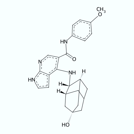 COc1ccc(NC(=O)c2cnc3[nH]ccc3c2N[C@H]2[C@@H]3CC4C[C@H]2C[C@@](O)(C4)C3)cc1